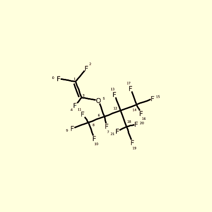 FC(F)=C(F)OC(F)(C(F)(F)F)C(F)(C(F)(F)F)C(F)(F)F